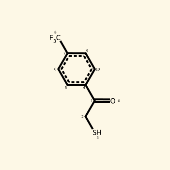 O=C(CS)c1ccc(C(F)(F)F)cc1